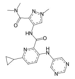 CN(C)C(=O)c1nn(C)cc1NC(=O)c1nc(C2CC2)ccc1Nc1cncnc1